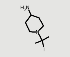 CC(C)(I)N1CCC(N)CC1